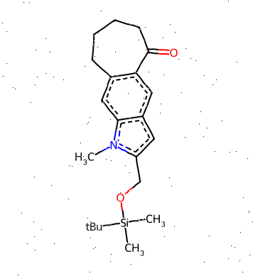 Cn1c(CO[Si](C)(C)C(C)(C)C)cc2cc3c(cc21)CCCCC3=O